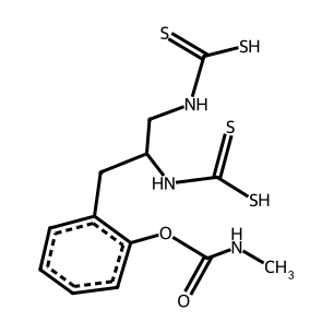 CNC(=O)Oc1ccccc1CC(CNC(=S)S)NC(=S)S